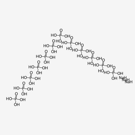 O=P(O)(O)O.O=P(O)(O)O.O=P(O)(O)O.O=P(O)(O)O.O=P(O)(O)O.O=P(O)(O)O.O=P(O)(O)O.O=P(O)(O)O.O=P(O)(O)O.O=P(O)(O)O.O=P(O)(O)O.O=P(O)(O)O.[NaH].[NaH].[NaH]